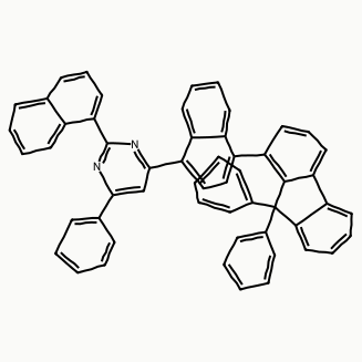 c1ccc(-c2cc(-c3ccc(-c4cccc5c4C(c4ccccc4)(c4ccccc4)c4ccccc4-5)c4ccccc34)nc(-c3cccc4ccccc34)n2)cc1